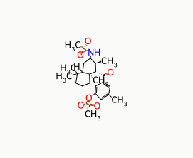 Cc1cc(OS(C)(=O)=O)cc(C(=O)[C@H]2[C@H](C)[C@H](NS(C)(=O)=O)C[C@H]3C(C)(C)CCC[C@]23C)c1